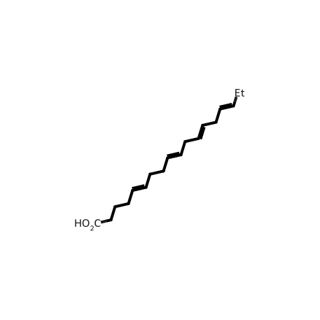 CCC=CCC=CCC=CCCC=CCCCC(=O)O